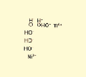 [Ni+2].[OH-].[OH-].[OH-].[OH-].[OH-].[OH-].[Ti+4]